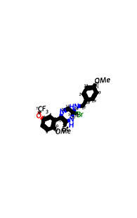 CCC1=C(c2cc(OC(F)(F)F)ccc2OC)N=CC(Br)(NCc2ccc(OC)cc2)N1